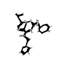 CC(C)c1cnc2c(NCc3ccccc3)nc(NC3CCCCC3)nn12